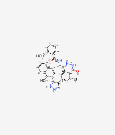 CCc1cc(-c2cnn(C)c2-c2ccc3ccccc3c2C#N)cc2c(CNC(=O)c3ccccc3C(=O)O)n[nH]c(=O)c12